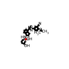 CC(C)Oc1ccc(-c2nc(-c3cccc4c3CC[C@H]4NC(O)N3CCC[C@H](O)C3)no2)cc1C#N